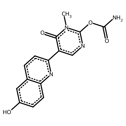 Cn1c(OC(N)=O)ncc(-c2ccc3cc(O)ccc3n2)c1=O